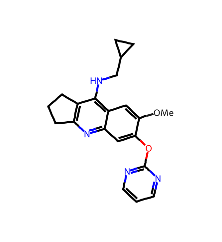 COc1cc2c(NCC3CC3)c3c(nc2cc1Oc1ncccn1)CCC3